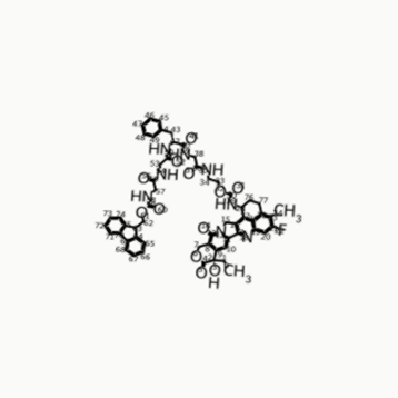 CC[C@@]1(O)C(=O)OCc2c1cc1n(c2=O)Cc2c-1nc1cc(F)c(C)c3c1c2[C@@H](NC(=O)OCCNC(=O)CNC(=O)[C@H](Cc1ccccc1)NC(=O)CNC(=O)CNC(=O)OCC1c2ccccc2-c2ccccc21)CC3